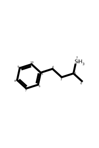 CC([SiH3])CCc1ccccc1